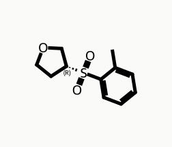 Cc1ccccc1S(=O)(=O)[C@@H]1CCOC1